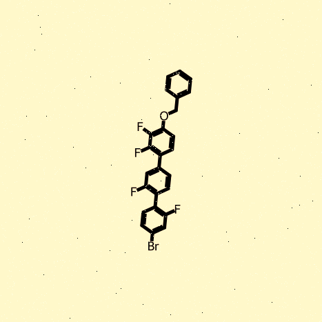 Fc1cc(Br)ccc1-c1ccc(-c2ccc(OCc3ccccc3)c(F)c2F)cc1F